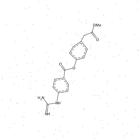 COC(=O)Cc1ccc(OC(=O)c2ccc(NC(=N)N)cc2)cc1